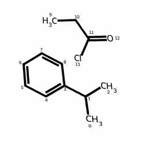 CC(C)c1ccccc1.CCC(=O)Cl